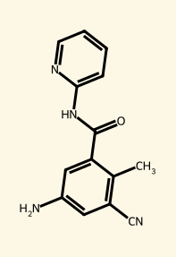 Cc1c(C#N)cc(N)cc1C(=O)Nc1ccccn1